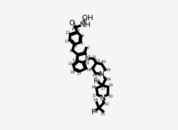 Cc1c(Cc2ccc(C(=O)NO)cc2)c2ccccc2n1CC1CCN(CC2(F)CCN(CC(C)(C)F)CC2)CC1